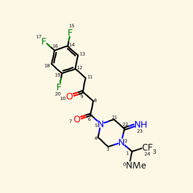 CNC(N1CCN(C(=O)CC(=O)Cc2cc(F)c(F)cc2F)CC1=N)C(F)(F)F